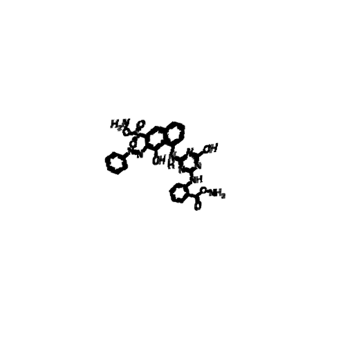 NOC(=O)c1ccccc1Nc1nc(O)nc(Nc2cccc3cc(S(=O)(=O)ON)c(N=Nc4ccccc4)c(O)c23)n1